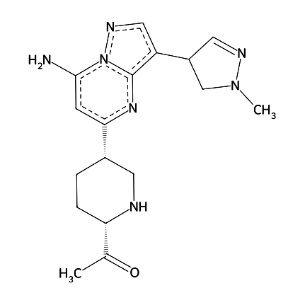 CC(=O)[C@@H]1CC[C@H](c2cc(N)n3ncc(C4C=NN(C)C4)c3n2)CN1